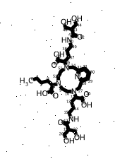 CCCCC(C(=O)O)N1CCN(C(CCCNC(=O)C(CO)CO)C(=O)O)Cc2cccc(n2)CN(C(CCCNC(=O)C(CO)CO)C(=O)O)CC1